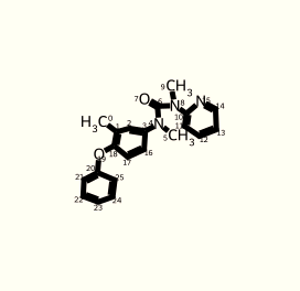 Cc1cc(N(C)C(=O)N(C)c2ccccn2)ccc1Oc1ccccc1